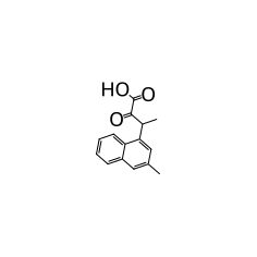 Cc1cc(C(C)C(=O)C(=O)O)c2ccccc2c1